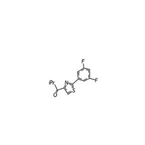 CC(C)C(=O)c1csc(-c2cc(F)cc(F)c2)n1